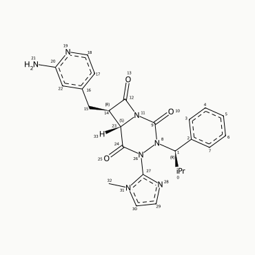 CC(C)[C@H](c1ccccc1)N1C(=O)N2C(=O)[C@H](Cc3ccnc(N)c3)[C@H]2C(=O)N1c1nccn1C